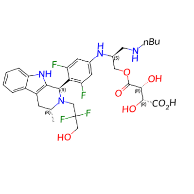 CCCCNC[C@@H](COC(=O)[C@H](O)[C@@H](O)C(=O)O)Nc1cc(F)c([C@@H]2c3[nH]c4ccccc4c3C[C@@H](C)N2CC(F)(F)CO)c(F)c1